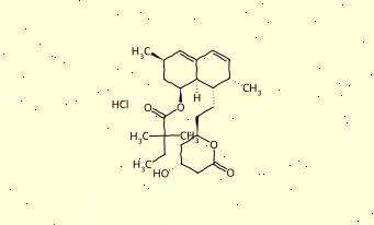 CCC(C)(C)C(=O)O[C@H]1C[C@@H](C)C=C2C=C[C@H](C)[C@H](CC[C@@H]3C[C@@H](O)CC(=O)O3)[C@H]21.Cl